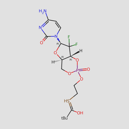 CC(C)(C)C(O)=[SH]CCOP1(=O)OC[C@H]2O[C@@H](n3ccc(N)nc3=O)C(F)(F)[C@@H]2O1